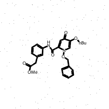 CCCCOc1cn(OCc2ccccc2)c(C(=O)Nc2cccc(CC(=O)OC)c2)cc1=O